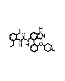 CCc1cccc(CC)c1NC(=O)Nc1ccc2[nH]ncc2c1-c1ccccc1OC1CCN(C)CC1